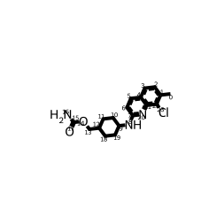 Cc1ccc2ccc(NC3CCC(COC(N)=O)CC3)nc2c1Cl